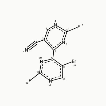 N#Cc1[c]nc(F)nc1-c1nc(F)ncc1Br